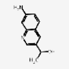 CC(O)c1cnc2cc(N)ccc2c1